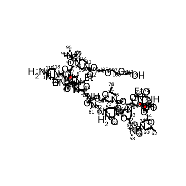 C/C=N\c1c(C(C)=N)ncn1C(CC)OC(CNP(=O)(OCC1CN([PH](=O)OCC(CN[PH](=O)OCC2CN(P(=O)(OCC3CN(C)CC(n4ccc(N)nc4=O)O3)N(C)C)CC(C)O2)OC(CC)n2cc(C)c(=O)[nH]c2=O)CC(C)O1)N(C)C)CO[PH](=O)N1CC(COP(=O)(N(C)C)N2CCN(C(=O)OCCOCCOCCO)CC2)OC(n2ccc(N)nc2=O)C1